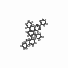 c1ccc(C2=NCN(c3cccc(-c4cccc5c4sc4ccccc45)c3-c3ccccc3)C(c3ccccc3)=N2)cc1